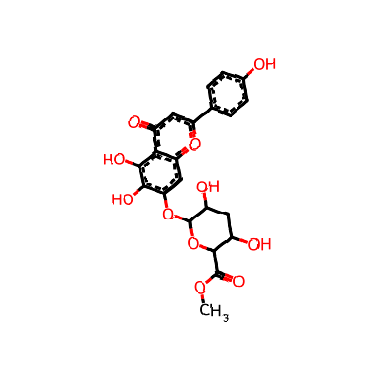 COC(=O)C1OC(Oc2cc3oc(-c4ccc(O)cc4)cc(=O)c3c(O)c2O)C(O)CC1O